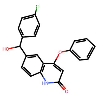 O=c1cc(Oc2ccccc2)c2cc(C(O)c3ccc(Cl)cc3)ccc2[nH]1